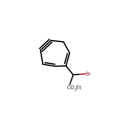 CCOC(=O)C(Br)C1=CCC#CC=C1